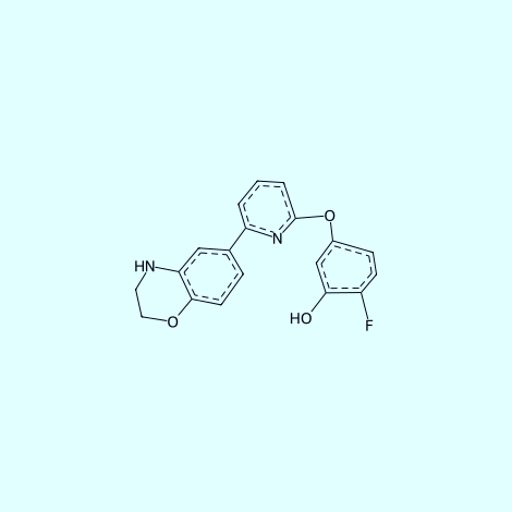 Oc1cc(Oc2cccc(-c3ccc4c(c3)NCCO4)n2)ccc1F